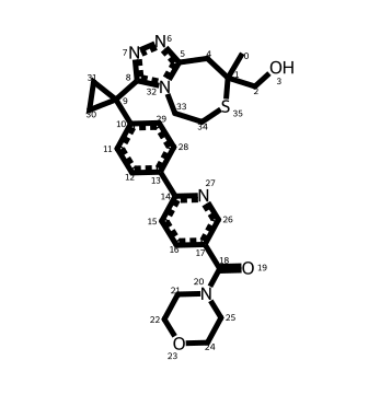 CC1(CO)Cc2nnc(C3(c4ccc(-c5ccc(C(=O)N6CCOCC6)cn5)cc4)CC3)n2CCS1